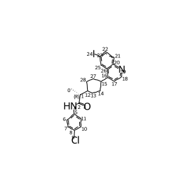 C[C@@H](C(=O)Nc1ccc(Cl)cc1)C1CCC(c2ccnc3ccc(I)cc23)CC1